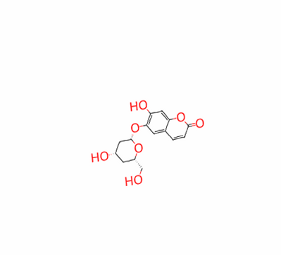 O=c1ccc2cc(O[C@H]3C[C@@H](O)C[C@@H](CO)O3)c(O)cc2o1